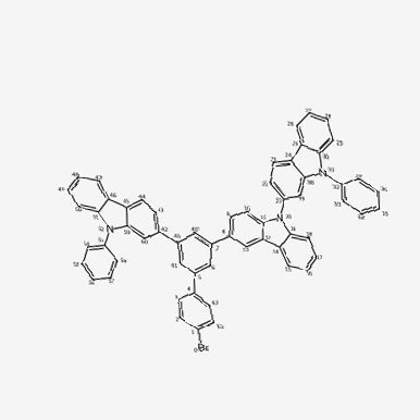 Brc1ccc(-c2cc(-c3ccc4c(c3)c3ccccc3n4-c3ccc4c5ccccc5n(-c5ccccc5)c4c3)cc(-c3ccc4c5ccccc5n(-c5ccccc5)c4c3)c2)cc1